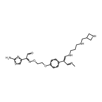 C/N=C/C(=C\NCCCNCC1CNC1)c1ccc(OCCO/N=C(\C=O)c2csc(N)n2)cc1